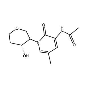 CC(=O)Nc1cc(C)cn(C2COCC[C@H]2O)c1=O